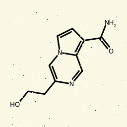 NC(=O)c1ccn2cc(CCO)ncc12